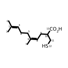 CC(C)=CCCC(C)=CCC(CS)C(=O)O